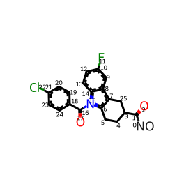 O=NC(=O)C1CCc2c(c3cc(F)ccc3n2C(=O)c2ccc(Cl)cc2)C1